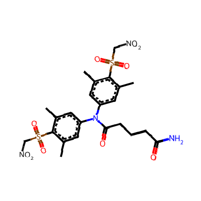 Cc1cc(N(C(=O)CCCC(N)=O)c2cc(C)c(S(=O)(=O)C[N+](=O)[O-])c(C)c2)cc(C)c1S(=O)(=O)C[N+](=O)[O-]